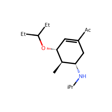 CCC(CC)O[C@@H]1C=C(C(C)=O)C[C@H](NC(C)C)[C@H]1C